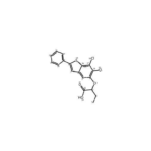 CCC(Oc1cc2cc(-c3ccccc3)sc2c(Cl)c1Cl)C(=O)O